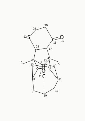 CC12C(=O)C(C)(C3=C1C1CC4CC(C1)CC3C4)C1C(=O)CCSC12